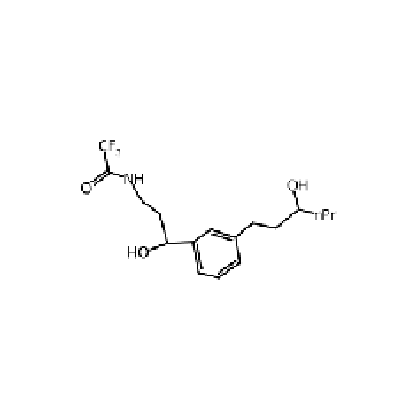 CCCC(O)CCc1cccc(C(O)CCNC(=O)C(F)(F)F)c1